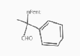 CCCCCC(C)(C=O)c1ccccc1